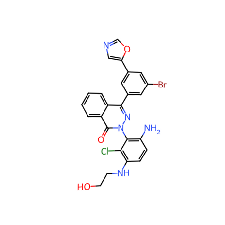 Nc1ccc(NCCO)c(Cl)c1-n1nc(-c2cc(Br)cc(-c3cnco3)c2)c2ccccc2c1=O